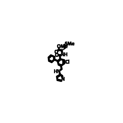 COC(=O)[C@H](CCSC)NC(=O)c1ccc(CNc2cccnc2)cc1-c1ccccc1.Cl